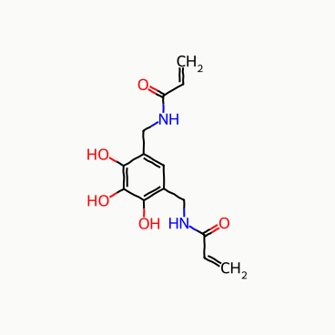 C=CC(=O)NCc1cc(CNC(=O)C=C)c(O)c(O)c1O